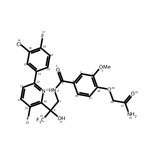 COc1cc(C(=O)NCC(O)(c2nc(-c3ccc(F)c(Cl)c3)ccc2F)C(F)(F)F)ccc1OCC(N)=O